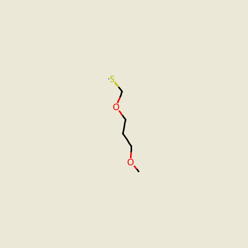 COCCCOC[S]